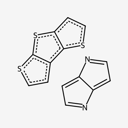 C1=NC2=CC=NC2=C1.c1cc2c(s1)sc1ccsc12